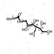 CNC(=O)NC[C@H](O)[C@@H](O)[C@H](O)[C@H](O)CO